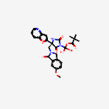 COc1ccc2c(c1)C(=O)N(C[C@@]1(c3cc4ncccc4o3)NC(=O)N(C(O)(O)OC(=O)C(C)(C)C)C1=O)C2